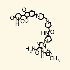 Cc1cc(Nc2nc(N3CCC[C@@H](NC(=O)C4CCN(CC5CCN(c6ccc7c(c6)C(=O)C(C6CCC(=O)NC6=O)C7=O)CC5)CC4)C3)cnc2C(N)=O)sn1